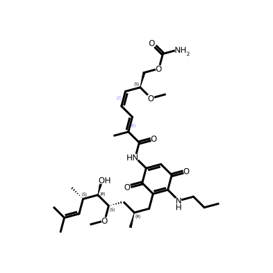 CCCNC1=C(C[C@@H](C)C[C@H](OC)[C@H](O)[C@@H](C)C=C(C)C)C(=O)C(NC(=O)/C(C)=C/C=C\[C@@H](COC(N)=O)OC)=CC1=O